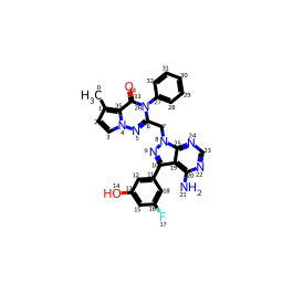 Cc1ccn2nc(Cn3nc(-c4cc(O)cc(F)c4)c4c(N)ncnc43)n(-c3ccccc3)c(=O)c12